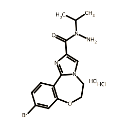 CC(C)N(N)C(=O)c1cn2c(n1)-c1ccc(Br)cc1OCC2.Cl.Cl